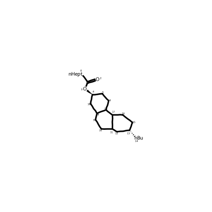 CCCCCCCC(=O)O[C@H]1CCC2C(CCC3C[C@@H](CCCC)CCC32)C1